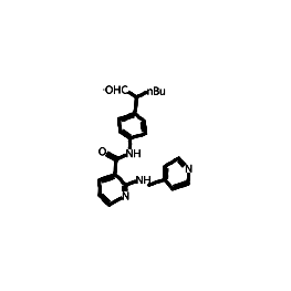 CCCCC([C]=O)c1ccc(NC(=O)c2cccnc2NCc2ccncc2)cc1